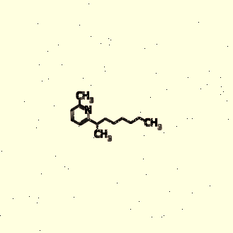 CCCCCCC(C)c1cccc(C)n1